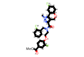 COC(=O)c1ccc(OCCN(Cc2ccccc2F)C(=O)c2nn(C)c3c2COc2ccc(F)cc2-3)c(F)c1